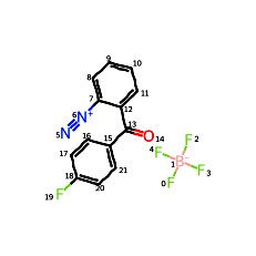 F[B-](F)(F)F.N#[N+]c1ccccc1C(=O)c1ccc(F)cc1